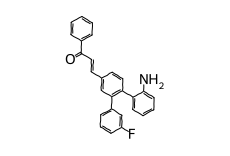 Nc1ccccc1-c1ccc(C=CC(=O)c2ccccc2)cc1-c1cccc(F)c1